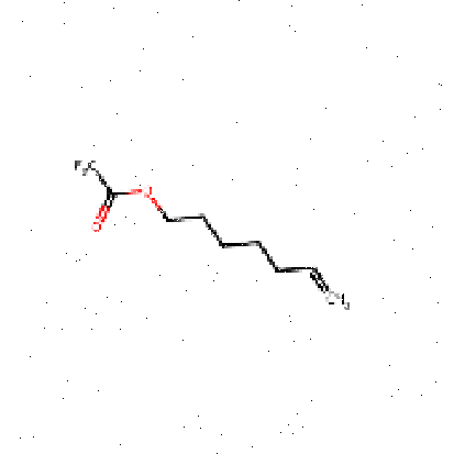 C=CCCCCCOC(=O)C(F)(F)F